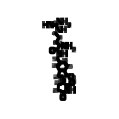 N=C(N)NCCCC(N)C(=O)NCc1ccc2c(c1)CN(C1CCC(=O)NC1=O)C2=O